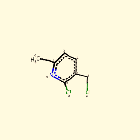 Cc1ccc(CCl)c(Cl)n1